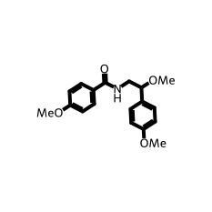 COc1ccc(C(=O)NCC(OC)c2ccc(OC)cc2)cc1